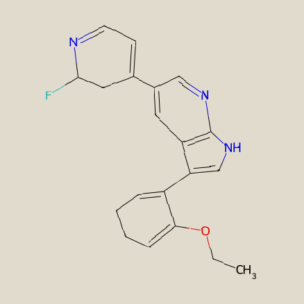 CCOC1=CCCC=C1c1c[nH]c2ncc(C3=CC=NC(F)C3)cc12